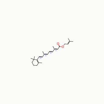 CC(C)=CCOC(=O)/C=C(C)/C=C/C=C(C)/C=C/C1=C(C)CCCC1(C)C